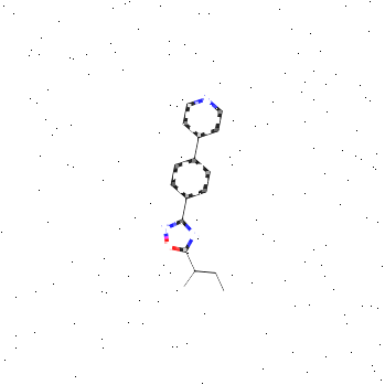 CCC(C)c1nc(-c2ccc(-c3ccncc3)cc2)no1